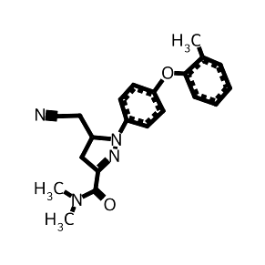 Cc1ccccc1Oc1ccc(N2N=C(C(=O)N(C)C)CC2CC#N)cc1